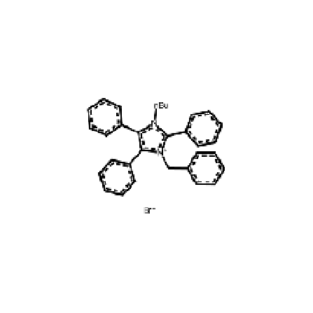 CCCCn1c(-c2ccccc2)c(-c2ccccc2)[n+](Cc2ccccc2)c1-c1ccccc1.[Br-]